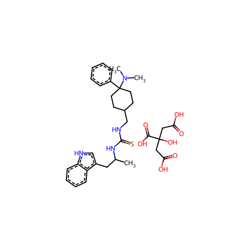 CC(Cc1c[nH]c2ccccc12)NC(=S)NCC1CCC(c2ccccc2)(N(C)C)CC1.O=C(O)CC(O)(CC(=O)O)C(=O)O